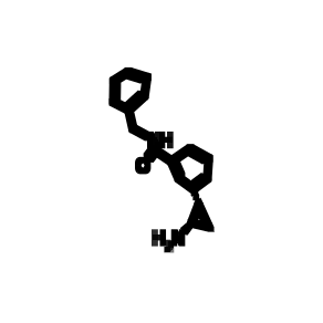 N[C@@H]1C[C@H]1c1cccc(C(=O)NCc2ccccc2)c1